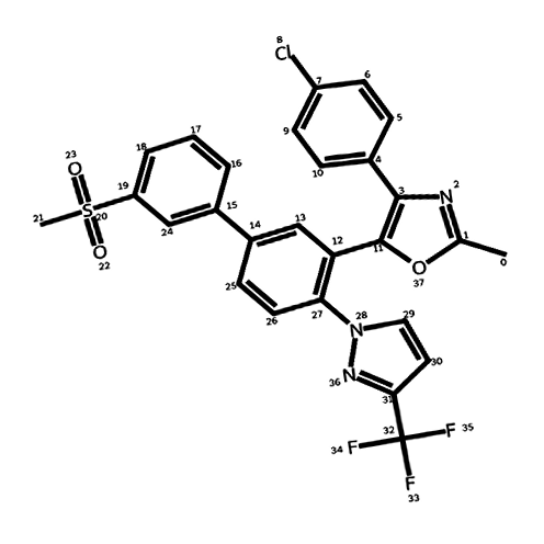 Cc1nc(-c2ccc(Cl)cc2)c(-c2cc(-c3cccc(S(C)(=O)=O)c3)ccc2-n2ccc(C(F)(F)F)n2)o1